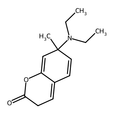 CCN(CC)C1(C)C=CC2=CCC(=O)OC2=C1